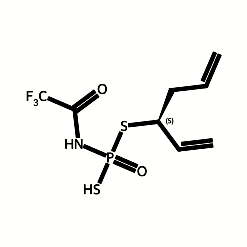 C=CC[C@@H](C=C)SP(=O)(S)NC(=O)C(F)(F)F